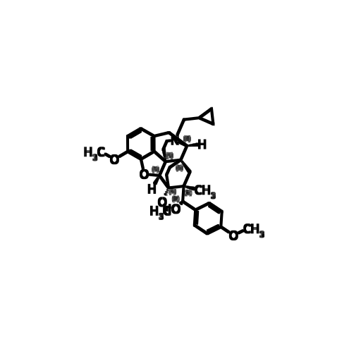 COc1ccc([C@@H](O)[C@@]2(C)C[C@@]34CC[C@]2(OC)[C@@H]2Oc5c(OC)ccc6c5[C@@]23CCN(CC2CC2)[C@@H]4C6)cc1